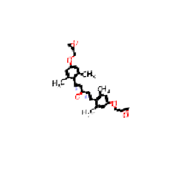 Cc1cc(OCC2CO2)cc(C)c1/C=C/C(=O)/C=C/c1c(C)cc(OCC2CO2)cc1C